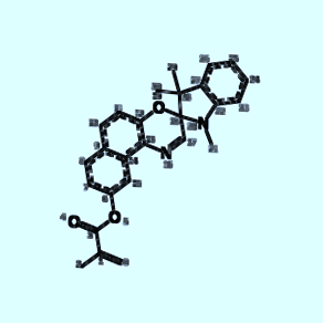 C=C(C)C(=O)Oc1ccc2ccc3c(c2c1)N=CC1(O3)N(C)c2ccccc2C1(C)C